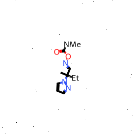 CCC(C)(C=NOC(=O)NC)n1cccn1